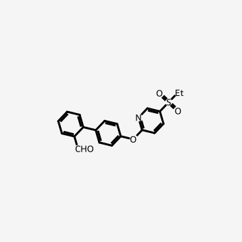 CCS(=O)(=O)c1ccc(Oc2ccc(-c3ccccc3C=O)cc2)nc1